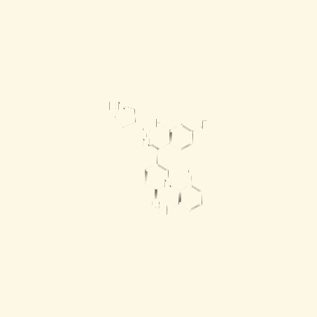 O=c1ccc(/C(=N/O[C@@H]2CCNC2)c2ccc(F)cc2F)cn1-c1c(Cl)cccc1Cl